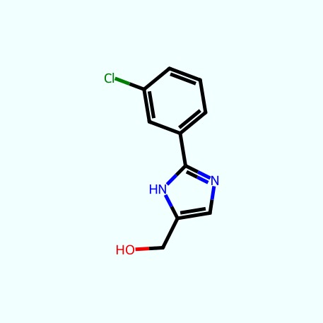 OCc1cnc(-c2cccc(Cl)c2)[nH]1